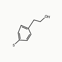 OCCc1ccc([S])cc1